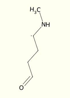 CN[CH]CCC=O